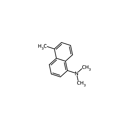 Cc1cccc2c(N(C)C)cccc12